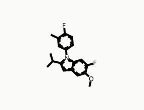 COc1cc2cc(C(C)C)n(-c3ccc(F)c(C)c3)c2cc1F